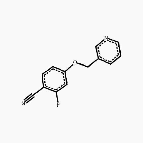 N#Cc1ccc(OCc2cccnc2)cc1F